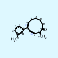 C=C1/C=C\C(c2ccnc(C)c2)=C/CCCCC1=O